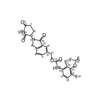 O=C1CCC(N2Cc3ccc(COC(=O)Nc4ccc(F)c(OC(F)F)c4F)cc3C2=O)C(=O)N1